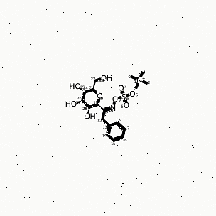 C[N+](C)(C)C.O=S(=O)([O-])ON=C(Cc1ccccc1)[C@@H]1O[C@H](CO)[C@@H](O)[C@H](O)[C@H]1O